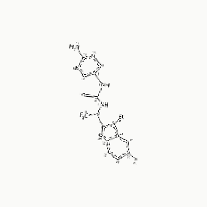 CCc1c(C(NC(=O)Nc2cnc(N)nc2)C(F)(F)F)oc2ccc(F)cc12